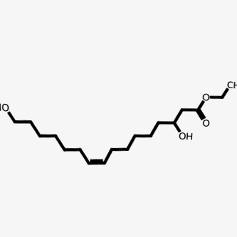 CCOC(=O)CC(O)CCCCC/C=C\CCCCCCO